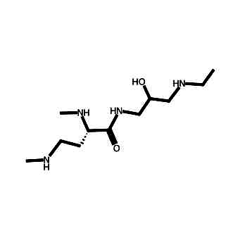 CCNCC(O)CNC(=O)[C@H](CCNC)NC